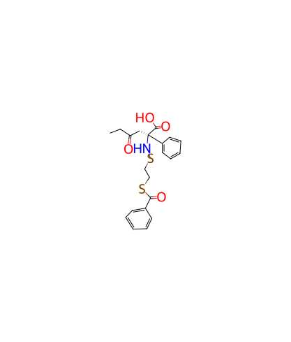 CCC(=O)C[C@](NSCCSC(=O)c1ccccc1)(C(=O)O)c1ccccc1